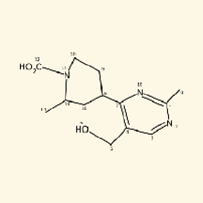 Cc1ncc(CO)c(C2CCN(C(=O)O)C(C)C2)n1